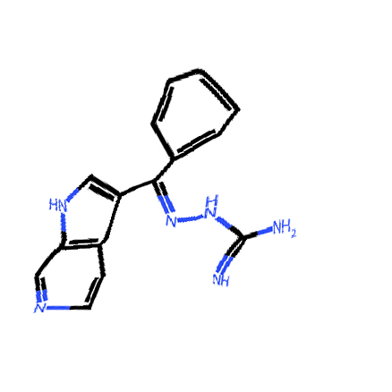 N=C(N)NN=C(c1ccccc1)c1c[nH]c2cnccc12